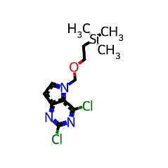 C[Si](C)(C)CCOCn1ccc2nc(Cl)nc(Cl)c21